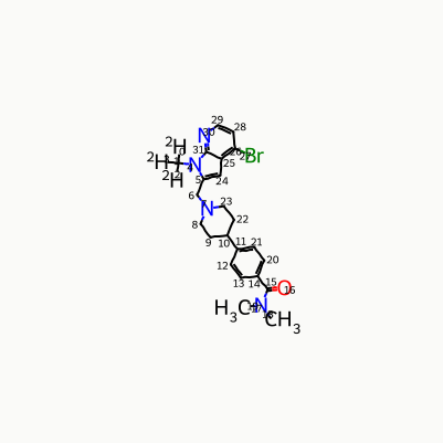 [2H]C([2H])([2H])n1c(CN2CCC(c3ccc(C(=O)N(C)C)cc3)CC2)cc2c(Br)ccnc21